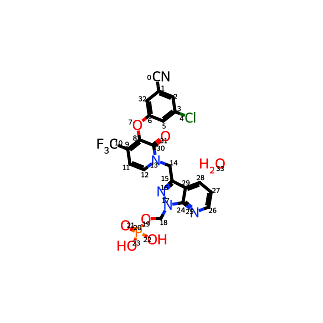 N#Cc1cc(Cl)cc(Oc2c(C(F)(F)F)ccn(Cc3nn(COP(=O)(O)O)c4ncccc34)c2=O)c1.O